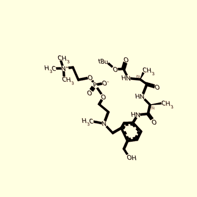 C[C@H](NC(=O)OC(C)(C)C)C(=O)N[C@@H](C)C(=O)Nc1ccc(CO)c(CN(C)CCOP(=O)([O-])OCC[N+](C)(C)C)c1